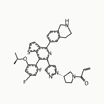 C=CC(=O)N1CC[C@H](n2cc(-c3nc(-c4ccc5c(c4)CCNC5)c4ccsc4c3-c3c(F)cc(F)cc3OC(C)C)cn2)C1